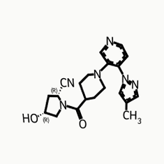 Cc1cnn(-c2ccncc2N2CCC(C(=O)N3C[C@H](O)C[C@@H]3C#N)CC2)c1